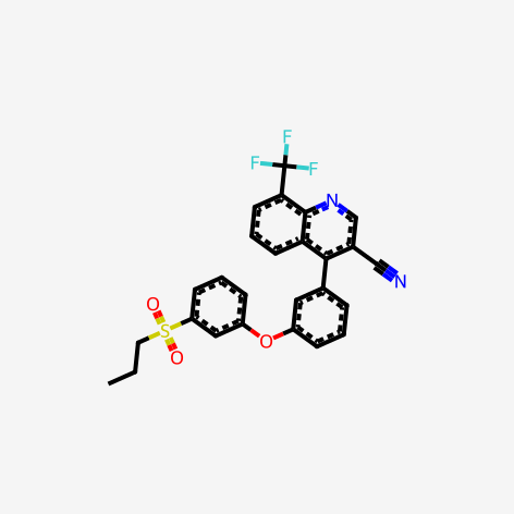 CCCS(=O)(=O)c1cccc(Oc2cccc(-c3c(C#N)cnc4c(C(F)(F)F)cccc34)c2)c1